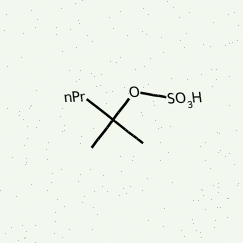 CCCC(C)(C)OS(=O)(=O)O